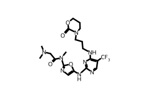 CN(C)CC(=O)N(C)c1ncc(Nc2ncc(C(F)(F)F)c(NCCCN3CCCOC3=O)n2)o1